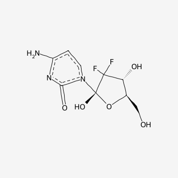 Nc1ccn([C@@]2(O)O[C@H](CO)[C@@H](O)C2(F)F)c(=O)n1